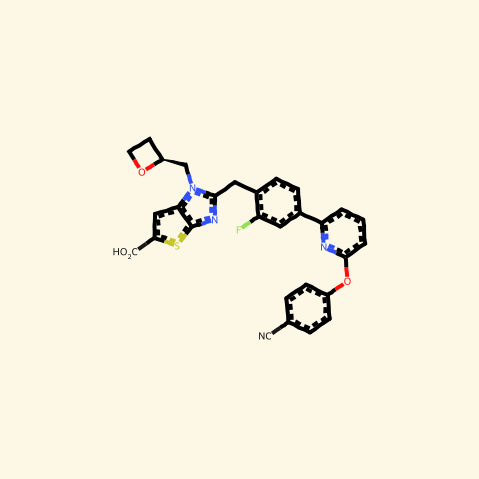 N#Cc1ccc(Oc2cccc(-c3ccc(Cc4nc5sc(C(=O)O)cc5n4C[C@@H]4CCO4)c(F)c3)n2)cc1